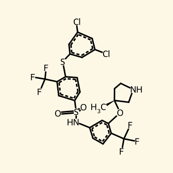 C[C@@]1(Oc2cc(NS(=O)(=O)c3ccc(Sc4cc(Cl)cc(Cl)c4)c(C(F)(F)F)c3)ccc2C(F)(F)F)CCNC1